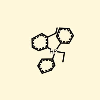 CCc1ccccc1[PH](CC)(c1ccccc1)c1ccccc1